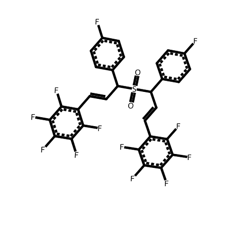 O=S(=O)(C(C=Cc1c(F)c(F)c(F)c(F)c1F)c1ccc(F)cc1)C(C=Cc1c(F)c(F)c(F)c(F)c1F)c1ccc(F)cc1